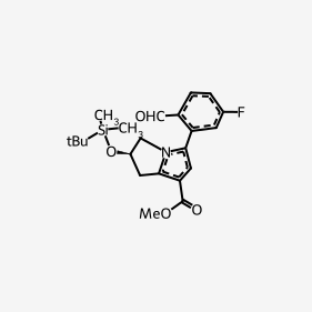 COC(=O)c1cc(-c2cc(F)ccc2C=O)n2c1C[C@@H](O[Si](C)(C)C(C)(C)C)C2